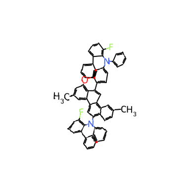 Cc1ccc2c(N(c3ccccc3)c3c(F)cccc3-c3ccccc3)cc3c4cc(C)cc5c4c(cc3c2c1)-c1ccc(N(c2ccccc2)c2c(F)cccc2-c2ccccc2)cc1O5